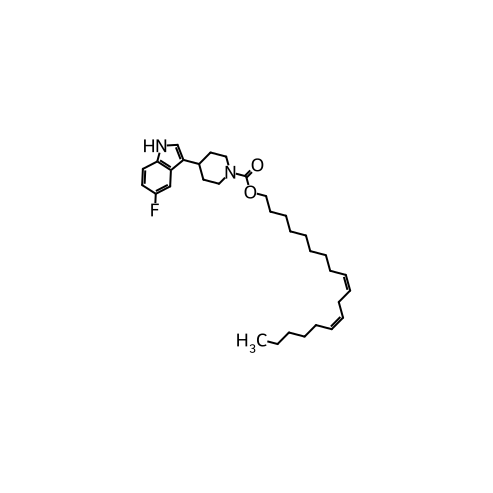 CCCCC/C=C\C/C=C\CCCCCCCCOC(=O)N1CCC(c2c[nH]c3ccc(F)cc23)CC1